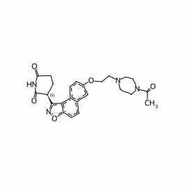 CC(=O)N1CCN(CCOc2ccc3c(ccc4onc([C@@H]5CCC(=O)NC5=O)c43)c2)CC1